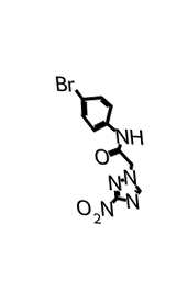 O=C(Cn1cnc([N+](=O)[O-])n1)Nc1ccc(Br)cc1